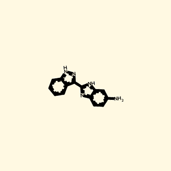 Nc1ccc2nc(-c3n[nH]c4ccccc34)[nH]c2c1